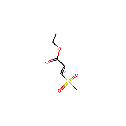 CCOC(=O)/C=C/S(C)(=O)=O